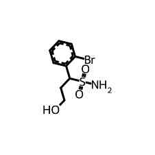 NS(=O)(=O)C(CCO)c1ccccc1Br